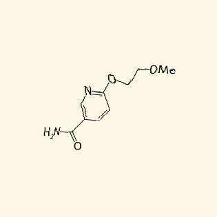 COCCOc1ccc(C(N)=O)cn1